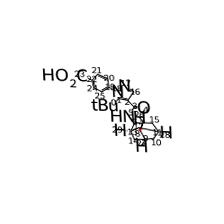 CC(C)(C)c1c(C(=O)NC2[C@H]3C[C@@H]4C[C@@H](C[C@H]2C4)C3)cnn1-c1ccc(C(=O)O)cc1